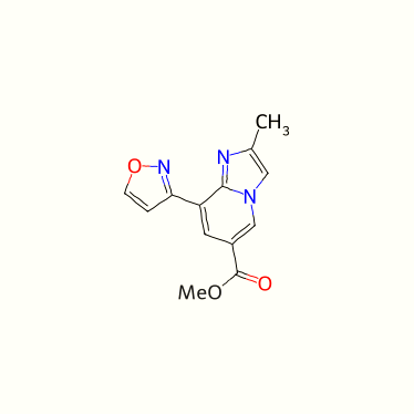 COC(=O)c1cc(-c2ccon2)c2nc(C)cn2c1